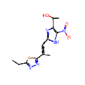 CCc1nnc(C(C)=Cc2nc(C(C)O)c([N+](=O)[O-])[nH]2)s1